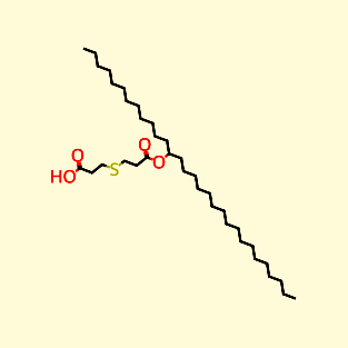 CCCCCCCCCCCCCCCCCC(CCCCCCCCCCCC)OC(=O)CCSCCC(=O)O